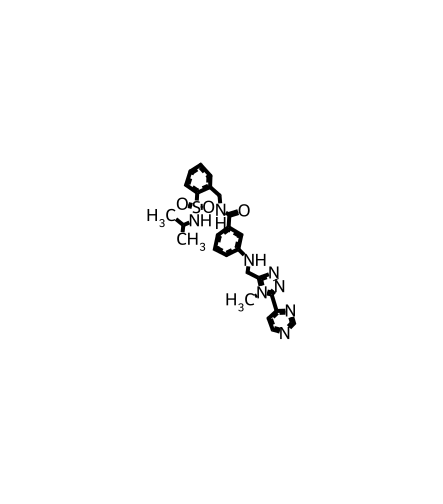 CC(C)NS(=O)(=O)c1ccccc1CNC(=O)c1cccc(NCc2nnc(-c3ccncn3)n2C)c1